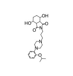 CC(C)Oc1ccccc1N1CCN(CCCN2C(=O)C3C(O)CCC(O)C3C2=O)CC1